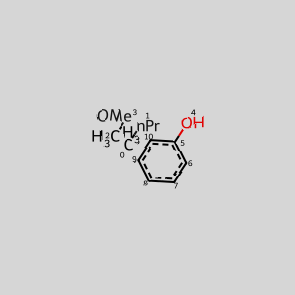 CCCC.COC.Oc1ccccc1